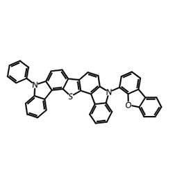 c1ccc(-n2c3ccccc3c3c4sc5c(ccc6c5c5ccccc5n6-c5cccc6c5oc5ccccc56)c4ccc32)cc1